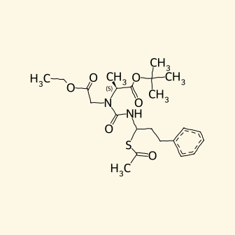 CCOC(=O)CN(C(=O)NC(CCc1ccccc1)SC(C)=O)[C@@H](C)C(=O)OC(C)(C)C